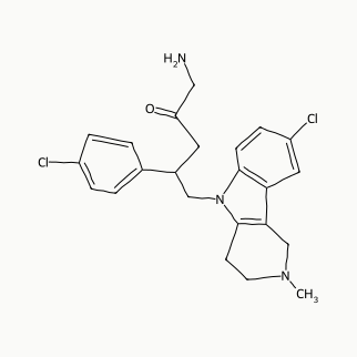 CN1CCc2c(c3cc(Cl)ccc3n2CC(CC(=O)CN)c2ccc(Cl)cc2)C1